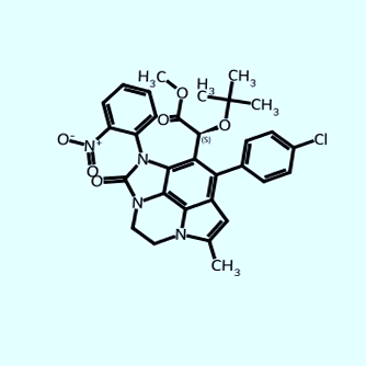 COC(=O)[C@@H](OC(C)(C)C)c1c(-c2ccc(Cl)cc2)c2cc(C)n3c2c2c1n(-c1ccccc1[N+](=O)[O-])c(=O)n2CC3